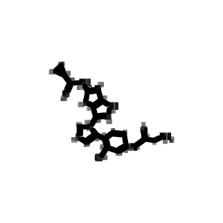 NCC(=O)Nc1ccc(-c2cncn2-c2n[nH]c3nc(NC(=O)C4CC4)sc23)c(Cl)c1